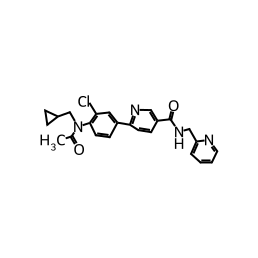 CC(=O)N(CC1CC1)c1ccc(-c2ccc(C(=O)NCc3ccccn3)cn2)cc1Cl